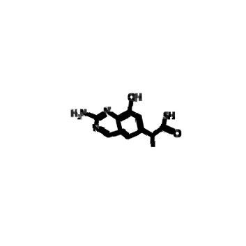 CC(C(=O)S)c1cc(O)c2nc(N)ncc2c1